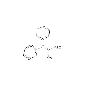 CCCCCCCC(OC)P(c1ccccc1)c1ccccc1